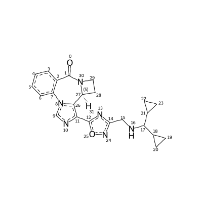 O=C1c2ccccc2-n2cnc(-c3nc(CNC(C4CC4)C4CC4)no3)c2[C@@H]2CCN12